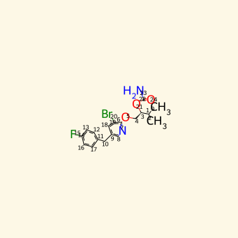 CC(C)[C@@H](COc1ncc(Cc2ccc(F)cc2)cc1Br)OC(N)=O